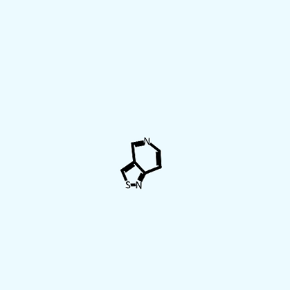 c1cc2nscc2cn1